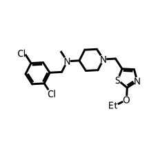 CCOc1ncc(CN2CCC(N(C)Cc3cc(Cl)ccc3Cl)CC2)s1